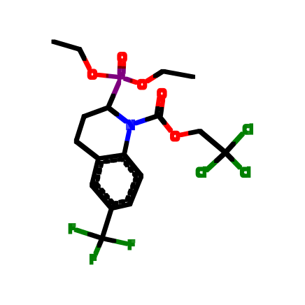 CCOP(=O)(OCC)C1CCc2cc(C(F)(F)F)ccc2N1C(=O)OCC(Cl)(Cl)Cl